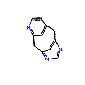 c1cc2cc(n1)Cc1cc(ncn1)C2